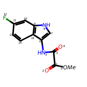 COC(=O)C(=O)Nc1c[nH]c2cc(F)ccc12